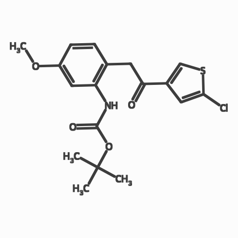 COc1ccc(CC(=O)c2csc(Cl)c2)c(NC(=O)OC(C)(C)C)c1